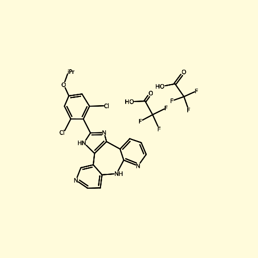 CC(C)Oc1cc(Cl)c(-c2nc3c([nH]2)-c2cnccc2Nc2ncccc2-3)c(Cl)c1.O=C(O)C(F)(F)F.O=C(O)C(F)(F)F